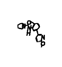 COc1ccc(-c2ccc(C)c(NC(=O)N3C4CCC3CC4)c2)cn1